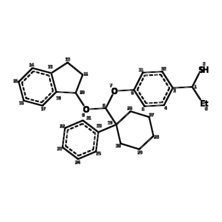 CCC(S)c1ccc(OC(OC2CCc3ccccc32)C2(c3ccccc3)CCCCC2)cc1